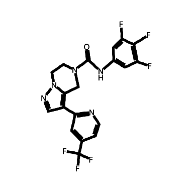 O=C(Nc1cc(F)c(F)c(F)c1)N1CCn2ncc(-c3cc(C(F)(F)F)ccn3)c2C1